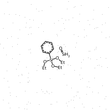 CCO[Si](OCC)(OCC)c1ccccc1.O=[SiH2]